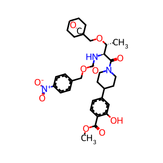 COC(=O)c1ccc(C2CCN(C(=O)[C@@H](NC(=O)OCc3ccc([N+](=O)[O-])cc3)[C@@H](C)OCC34CCC(CC3)OC4)CC2)cc1O